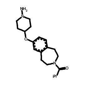 CC(C)C(=O)N1CCc2ccc(OC3CCN(N)CC3)cc2CC1